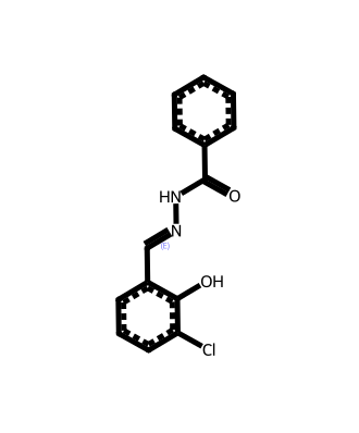 O=C(N/N=C/c1cccc(Cl)c1O)c1ccccc1